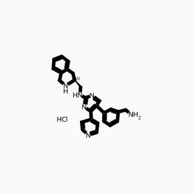 Cl.NCc1cccc(-c2cnc(NC[C@@H]3Cc4ccccc4CN3)nc2-c2ccncc2)c1